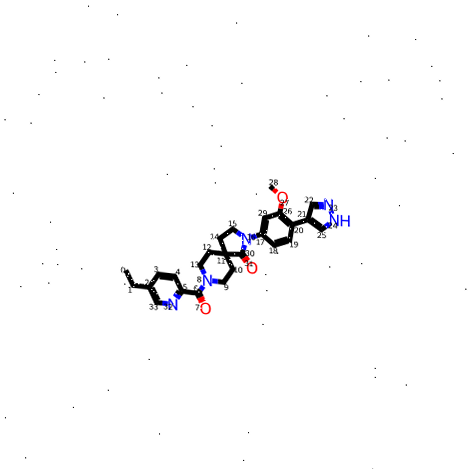 CCc1ccc(C(=O)N2CCC3(CC2)CCN(c2ccc(-c4cn[nH]c4)c(OC)c2)C3=O)nc1